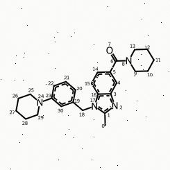 Cc1nc2cc(C(=O)N3CCCCC3)ccc2n1Cc1cccc(N2CCCCC2)c1